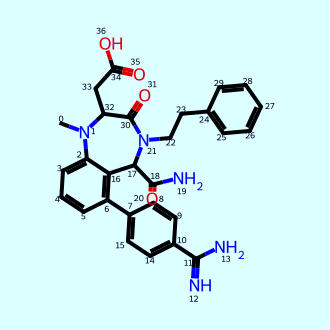 CN1c2cccc(-c3ccc(C(=N)N)cc3)c2C(C(N)=O)N(CCc2ccccc2)C(=O)C1CC(=O)O